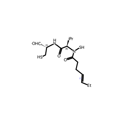 CC/C=C/CCC(=O)N(S)[C@@H](C(=O)N[C@@H]([C]=O)CS)C(C)C